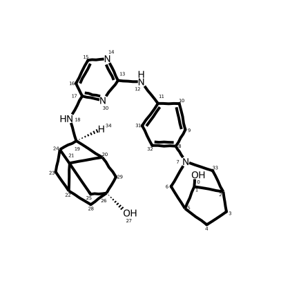 OC1C2CCC1CN(c1ccc(Nc3nccc(N[C@H]4C5CC6CC4C[C@](O)(C6)C5)n3)cc1)C2